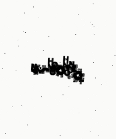 COc1ccc(S(=O)(=O)NCCCn2ccnc2)cc1Nc1ncc(-c2ccc(F)cc2)o1